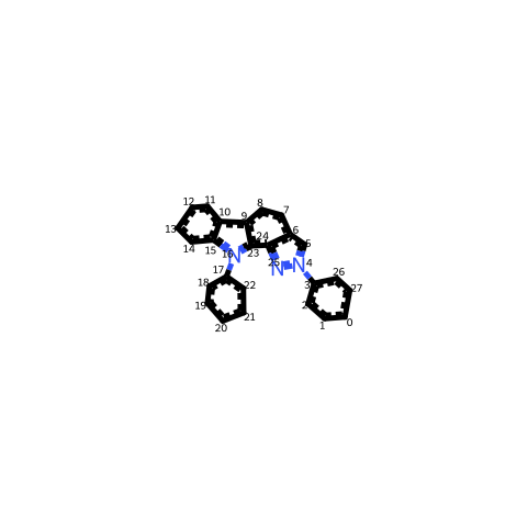 c1ccc(-n2cc3ccc4c5ccccc5n(-c5ccccc5)c4c3n2)cc1